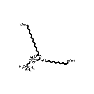 CCCCCCCC/C=C\CCCCCCCCOC[C@H](COP(=O)([O-])OCC[N+](C)(C)C)OC(=O)CCCCCCCCCCCCCCCCCCCCCCC